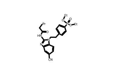 CCOP(=O)(OCC)c1ccc(CCn2c(NC(=O)CC(C)C)nc3cc(C#N)ccc32)cc1